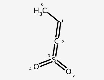 CC=C=S(=O)=O